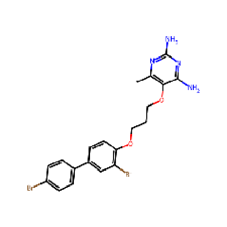 Cc1nc(N)nc(N)c1OCCCOc1ccc(-c2ccc(Br)cc2)cc1Br